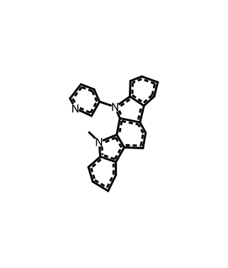 Cn1c2ccccc2c2ccc3c4ccccc4n(-c4cccnc4)c3c21